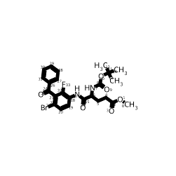 COC(=O)CCC(NC(=O)OC(C)(C)C)C(=O)Nc1ccc(Br)c(C(=O)c2ccccc2)c1F